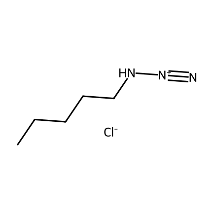 CCCCCN[N+]#N.[Cl-]